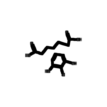 O=C(O)CCCCCC(=O)O.Oc1cccc(O)c1Cl